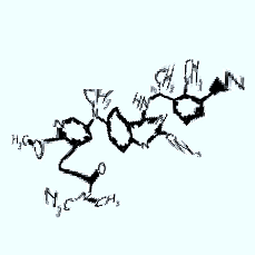 COc1ncc(N(C)c2ccc3nc(C)nc(N[C@H](C)c4cccc(C#N)c4C)c3c2)cc1CC(=O)N(C)C